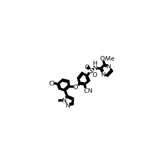 COc1nccnc1NS(=O)(=O)c1ccc(Oc2ccc(Cl)cc2-c2ccnn2C)c(C#N)c1